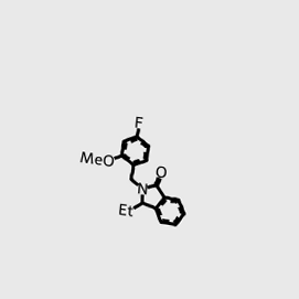 CCC1c2ccccc2C(=O)N1Cc1ccc(F)cc1OC